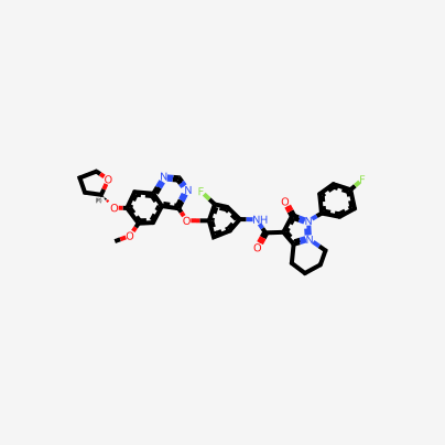 COc1cc2c(Oc3ccc(NC(=O)c4c5n(n(-c6ccc(F)cc6)c4=O)CCCC5)cc3F)ncnc2cc1O[C@@H]1CCCO1